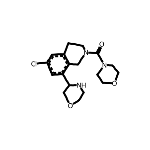 O=C(N1CCOCC1)N1CCc2cc(Cl)cc(C3COCCN3)c2C1